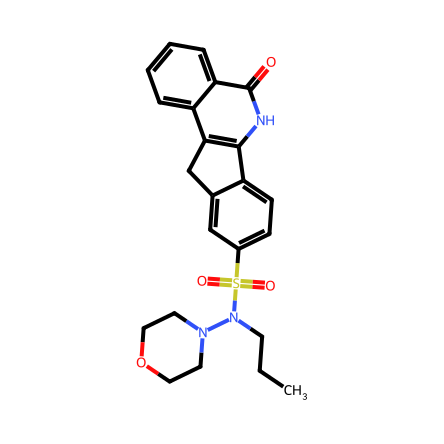 CCCN(N1CCOCC1)S(=O)(=O)c1ccc2c(c1)Cc1c-2[nH]c(=O)c2ccccc12